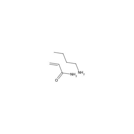 C=CC(N)=O.CCCCN